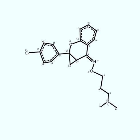 CN(C)CCCON=C1c2ccccc2OC2(c3ccc(Cl)cc3)CC12